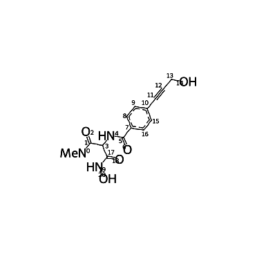 CNC(=O)C(NC(=O)c1ccc(C#CCO)cc1)C(=O)NO